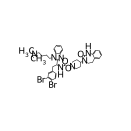 CN(C)CCCCn1c(C(Cc2ccc(Br)c(Br)c2)NC(=O)ON2CCC(N3CCc4ccccc4NC3=O)CC2)nc2ccccc21